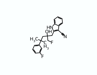 CC(C)(CC(O)(CF)Cc1[nH]c2ccccc2c1C#N)c1cccc(F)c1